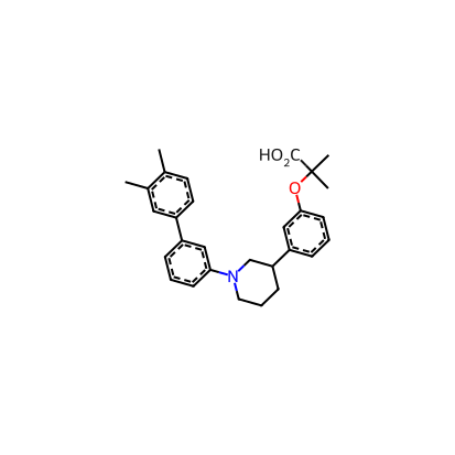 Cc1ccc(-c2cccc(N3CCCC(c4cccc(OC(C)(C)C(=O)O)c4)C3)c2)cc1C